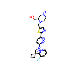 OC[C@@H]1CNCCN1Cc1cnc(-c2ccc(NCC3(c4ncccc4F)CCC3)nn2)s1